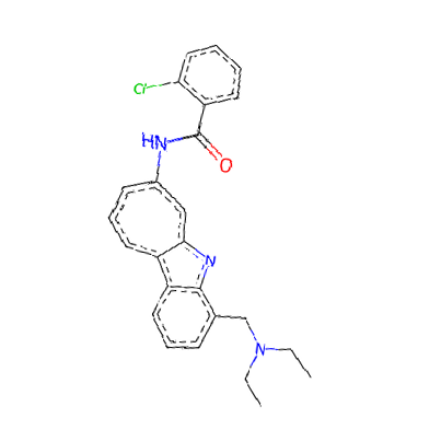 CCN(CC)Cc1cccc2c3cccc(NC(=O)c4ccccc4Cl)cc-3nc12